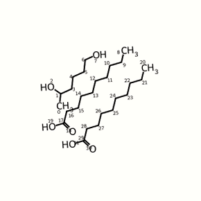 CC(O)CCCCO.CCCCCCCCCC(=O)O.CCCCCCCCCC(=O)O